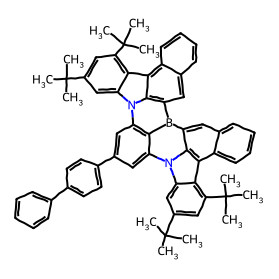 CC(C)(C)c1cc(C(C)(C)C)c2c3c4ccccc4cc4c3n(c2c1)-c1cc(-c2ccc(-c3ccccc3)cc2)cc2c1B4c1cc3ccccc3c3c4c(C(C)(C)C)cc(C(C)(C)C)cc4n-2c13